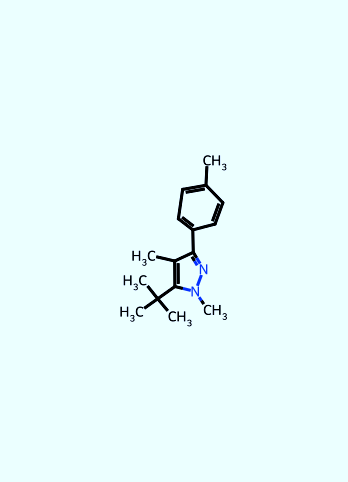 Cc1ccc(-c2nn(C)c(C(C)(C)C)c2C)cc1